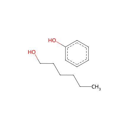 CCCCCCO.Oc1ccccc1